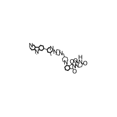 Cc1cc(-c2ccc3c4cnccc4n(C)c3c2)cnc1N1CCN(CC2CCN(c3cccc4c3C(=O)N(N3CCC(=O)NC3=O)C4=O)CC2)CC1